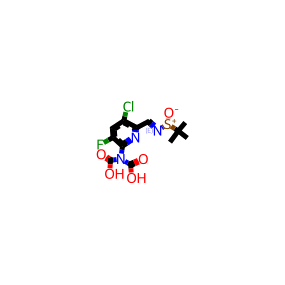 CC(C)(C)[S+]([O-])/N=C/c1nc(N(C(=O)O)C(=O)O)c(F)cc1Cl